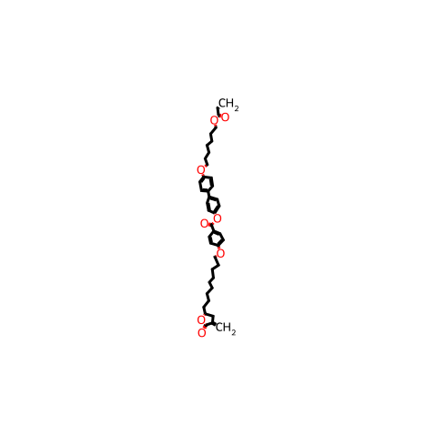 C=CC(=O)OCCCCCCCOc1ccc(-c2ccc(OC(=O)c3ccc(OCCCCCCCCCC4CC(=C)C(=O)O4)cc3)cc2)cc1